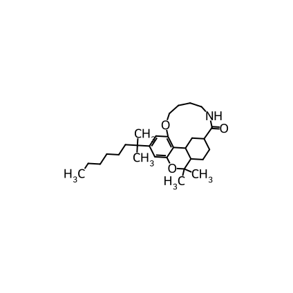 CCCCCCC(C)(C)c1cc2c3c(c1)OC(C)(C)C1CCC(CC31)C(=O)NCCCCO2